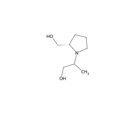 CC(CO)N1CCC[C@H]1CO